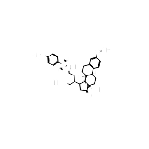 CCC(CCNS(=O)(=O)c1ccc(C)cc1)C1CC(=O)[C@@]2(C)CC[C@@H]3c4ccc(OC)cc4CC[C@H]3[C@H]12